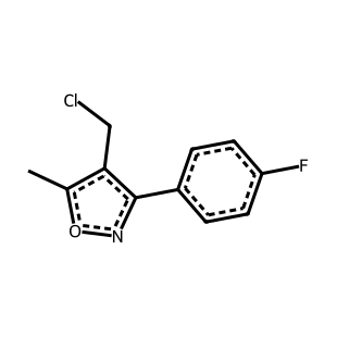 Cc1onc(-c2ccc(F)cc2)c1CCl